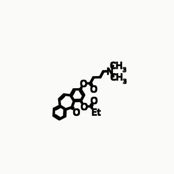 CCC(=O)Oc1cc(OC(=O)CCCN(C)C)cc2ccc3ccccc3c(=O)c12